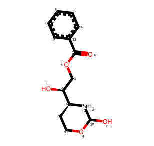 O=C(OC[C@H](O)[C@@H]1CCOC(O)[SiH2]1)c1ccccc1